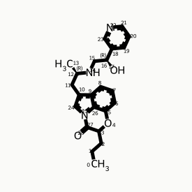 CCCC1Oc2cccc3c(C[C@@H](C)NC[C@H](O)c4cccnc4)cn(c23)C1=O